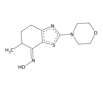 CC1CCc2nc(N3CCOCC3)sc2C1=NO